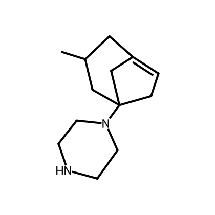 CC1CC2=CCC(N3CCNCC3)(C2)C1